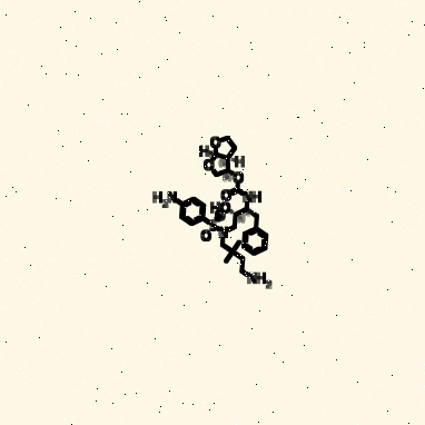 CC(C)(CCN)CN(C[C@H](O)[C@H](Cc1ccccc1)NC(=O)O[C@H]1CO[C@H]2OCC[C@H]21)S(=O)(=O)c1ccc(N)cc1